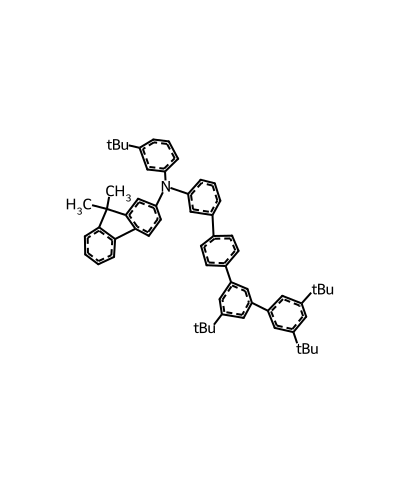 CC(C)(C)c1cc(-c2ccc(-c3cccc(N(c4cccc(C(C)(C)C)c4)c4ccc5c(c4)C(C)(C)c4ccccc4-5)c3)cc2)cc(-c2cc(C(C)(C)C)cc(C(C)(C)C)c2)c1